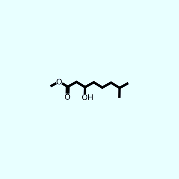 COC(=O)CC(O)CCCC(C)C